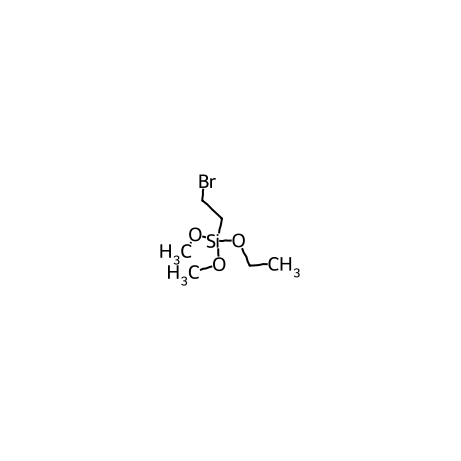 CCO[Si](CCBr)(OC)OC